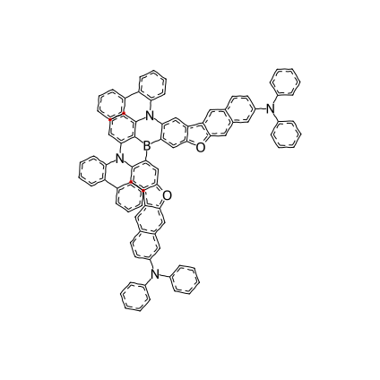 c1ccc(-c2ccccc2N2c3cc4c(cc3B3c5cc6oc7cc8cc(N(c9ccccc9)c9ccccc9)ccc8cc7c6cc5N(c5ccccc5-c5ccccc5)c5cccc2c53)oc2cc3cc(N(c5ccccc5)c5ccccc5)ccc3cc24)cc1